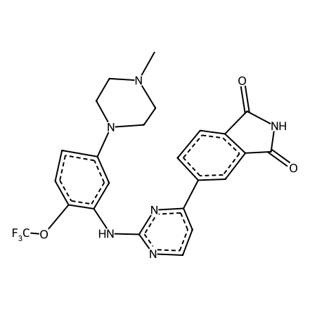 CN1CCN(c2ccc(OC(F)(F)F)c(Nc3nccc(-c4ccc5c(c4)C(=O)NC5=O)n3)c2)CC1